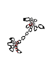 C1=CC2c3ccc4c5ccccc5n(-c5cc(-c6ccccc6)cc(-c6ccccc6)c5)c4c3N(c3nc(-c4ccccc4)nc(-c4ccc(-c5ccc(-c6ccc(-c7cccc(-c8ccc(-n9c%10ccccc%10c%10ccc%11c%12ccccc%12n(-c%12nc(-c%13ccccc%13)nc(-c%13cccc(-c%14ccccc%14)c%13)n%12)c%11c%109)cc8)c7)cc6)cc5)cc4)n3)C2C=C1